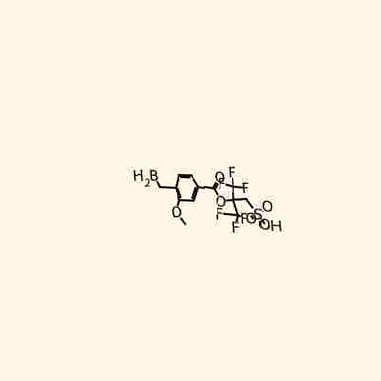 BCc1ccc(C(=O)OC(CS(=O)(=O)O)(C(F)(F)F)C(F)(F)F)cc1OC